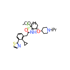 CC(=O)O.CC(C)N1CCC(O[C@H]2CCCC(F)(F)[C@@H]2NC(=O)Cc2cccc(-c3nccs3)c2C2CC2)CC1